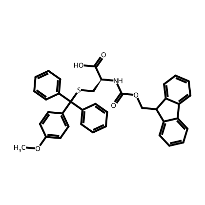 COc1ccc(C(SC[C@H](NC(=O)OCC2c3ccccc3-c3ccccc32)C(=O)O)(c2ccccc2)c2ccccc2)cc1